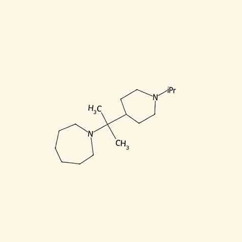 CC(C)N1CCC(C(C)(C)N2CCCCCC2)CC1